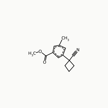 COC(=O)c1cc(C)cc(C2(C#N)CCC2)c1